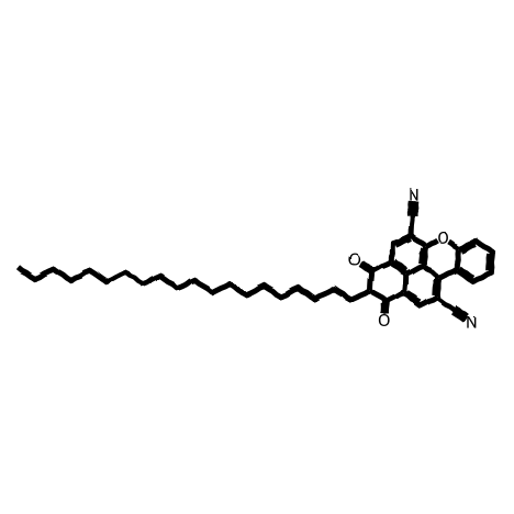 CCCCCCCCCCCCCCCCCCCCC1C(=O)c2cc(C#N)c3c4c(c(C#N)cc(c24)C1=O)-c1ccccc1O3